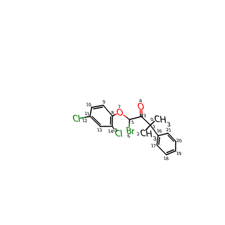 CC(C)(C(=O)C(Br)Oc1ccc(Cl)cc1Cl)c1ccccc1